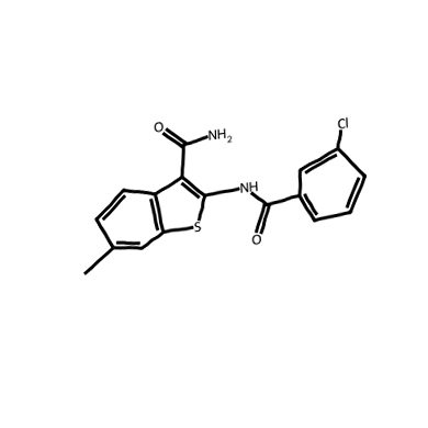 Cc1ccc2c(C(N)=O)c(NC(=O)c3cccc(Cl)c3)sc2c1